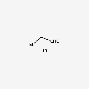 CCCC=O.[Th]